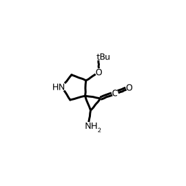 CC(C)(C)OC1CNCC12C(=C=O)C2N